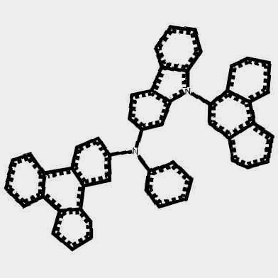 c1ccc(N(c2ccc3c4ccccc4c4ccccc4c3c2)c2ccc3c4ccccc4n(-c4cc5ccccc5c5ccccc45)c3c2)cc1